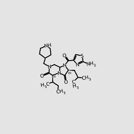 CCC(C)[C@H]1C(=O)N(CC2CCNCC2)CC2N1C(=O)[C@H](CC(C)C)N2C(=O)c1csc(N)n1